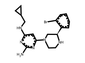 Nc1nc(NCC2CC2)cc(N2CCN[C@H](c3ccccc3Br)C2)n1